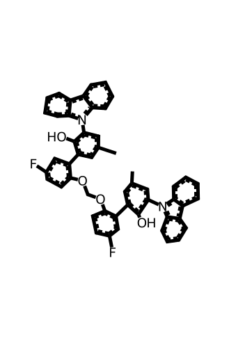 Cc1cc(-c2cc(F)ccc2OCOc2ccc(F)cc2-c2cc(C)cc(-n3c4ccccc4c4ccccc43)c2O)c(O)c(-n2c3ccccc3c3ccccc32)c1